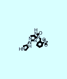 CS(=O)(=O)c1ccccc1Cn1c(=O)[nH]c2cnc(NC[C@@H]3CCNC3)nc21